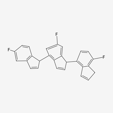 Fc1ccc2c(c1)C=CC2c1cc(F)cc2c1C=CC2c1ccc(F)c2c1C=CC2